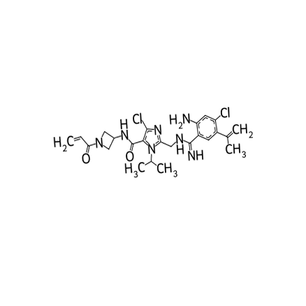 C=CC(=O)N1CC(NC(=O)c2c(Cl)nc(CNC(=N)c3cc(C(=C)C)c(Cl)cc3N)n2C(C)C)C1